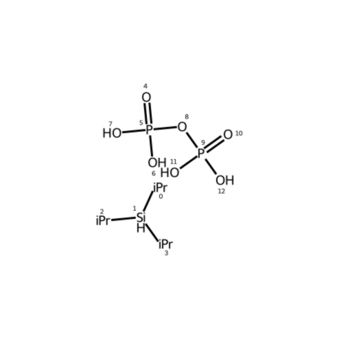 CC(C)[SiH](C(C)C)C(C)C.O=P(O)(O)OP(=O)(O)O